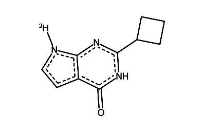 [2H]n1ccc2c(=O)[nH]c(C3CCC3)nc21